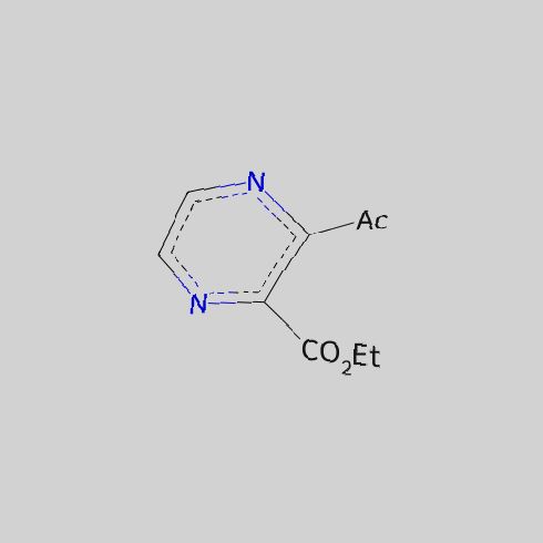 CCOC(=O)c1nccnc1C(C)=O